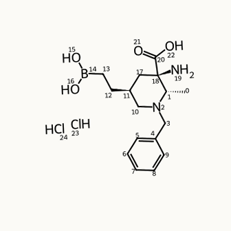 C[C@@H]1N(Cc2ccccc2)C[C@@H](CCB(O)O)C[C@]1(N)C(=O)O.Cl.Cl